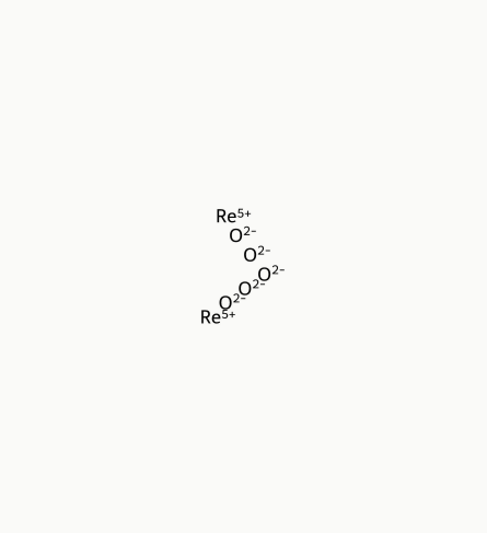 [O-2].[O-2].[O-2].[O-2].[O-2].[Re+5].[Re+5]